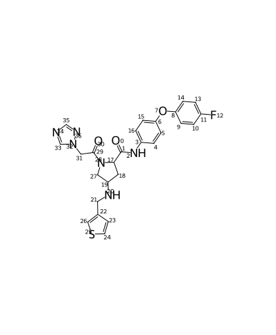 O=C(Nc1ccc(Oc2ccc(F)cc2)cc1)C1CC(NCc2ccsc2)CN1C(=O)Cn1cncn1